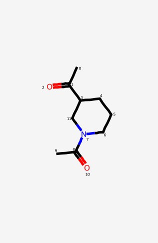 CC(=O)C1CCCN(C(C)=O)C1